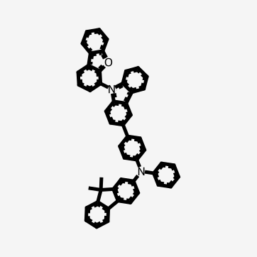 CC1(C)c2ccccc2-c2ccc(N(c3ccccc3)c3ccc(-c4ccc5c(c4)c4ccccc4n5-c4cccc5c4oc4ccccc45)cc3)cc21